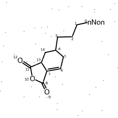 CCCCCCCCCCCCC1CC=C2C(=O)OC(=O)C2C1